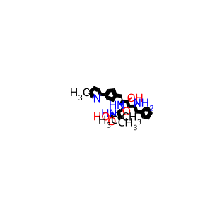 Cc1ccc(-c2ccc(C[C@H](NC(=O)[C@@H](NC(=O)O)C(C)(C)C)[C@@H](O)C[C@@H](N)Cc3ccccc3)cc2)nc1